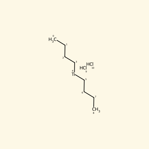 CCC[CH2][Ti][CH2]CCC.Cl.Cl